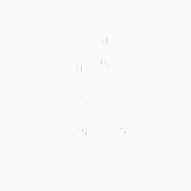 C/C=C\C=C/C1=Cc2cc3c(cc2C1(C)C)sc1ccc(-c2cc(C#N)ccc2-n2c4ccccc4c4ccccc42)cc13